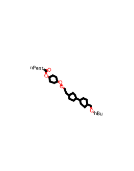 [CH2+][CH-]CCCC(=O)OC1CCC(OOCCC2CCC(C3CCC(COCCCC)CC3)CC2)CC1